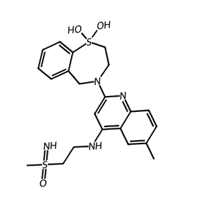 Cc1ccc2nc(N3CCS(O)(O)c4ccccc4C3)cc(NCCS(C)(=N)=O)c2c1